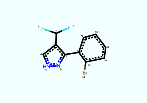 FC(F)c1c[nH]nc1-c1ccccc1Br